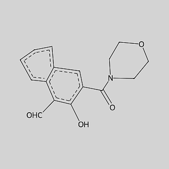 O=Cc1c(O)c(C(=O)N2CCOCC2)cc2ccccc12